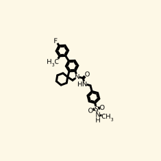 CNS(=O)(=O)c1ccc(CNC(=O)N2CC3(CCCCC3)c3cc(-c4ccc(F)cc4C)ccc32)cc1